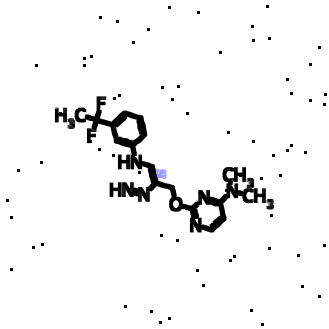 CN(C)c1ccnc(OC/C(=C/Nc2cccc(C(C)(F)F)c2)N=N)n1